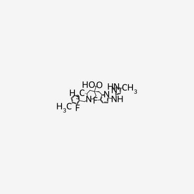 Cc1cc(Nc2ccc(F)c(C[C@@]3(C(=O)O)CCN(Cc4cccc(C)c4F)[C@H](C)C3)n2)n[nH]1